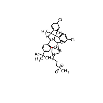 CCOc1cc(C(C)(C)C(C)=O)ccc1C1=NC(C)(c2ccc(Cl)cc2)C(C)(c2ccc(Cl)cc2)N1C(=O)N1CCN(CCCS(C)(=O)=O)CC1